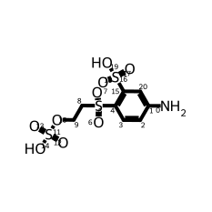 Nc1ccc(S(=O)(=O)CCOS(=O)(=O)O)c(S(=O)(=O)O)c1